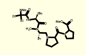 CCC(CC)(NC)C(=O)N[C@H](C(=O)N(C)[C@H](CN1CCCC1C(=O)N1CCCC1C(=O)OC)C(C)C)C(C)(C)C